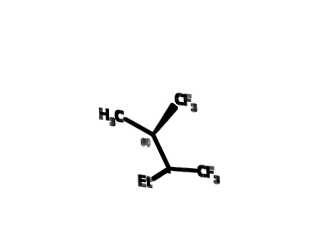 CC[C]([C@@H](C)C(F)(F)F)C(F)(F)F